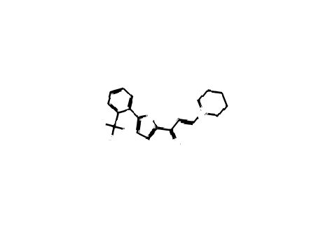 O=C(C=CN1CCCCC1)c1ccc(-c2ccccc2C(F)(F)F)o1